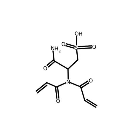 C=CC(=O)N(C(=O)C=C)C(CS(=O)(=O)O)C(N)=O